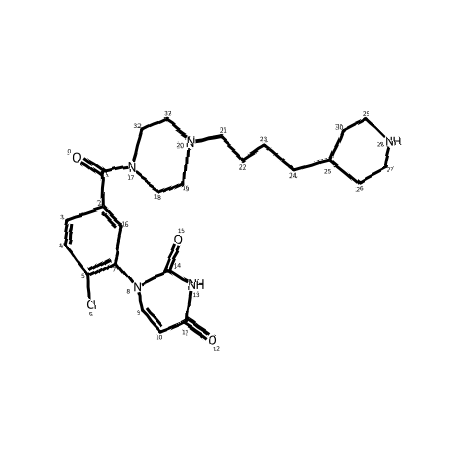 O=C(c1ccc(Cl)c(-n2ccc(=O)[nH]c2=O)c1)N1CCN(CCCCC2CCNCC2)CC1